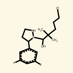 CC(C)(CCCCl)C(O)N1NCCC1c1cc(F)cc(F)c1